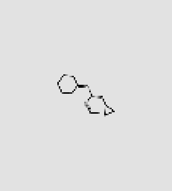 C/C=N\C(=C/C1CC1)N=C1CCCCC1